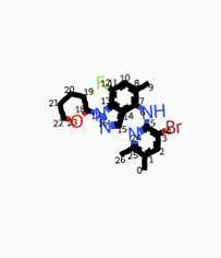 Cc1cc(Br)c(Nc2c(C)cc(F)c3c2cnn3C2CCCCO2)nc1C